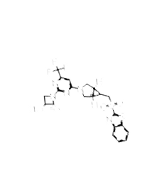 C[C@H]1[C@H](O)CN1c1nc(N2C[C@@H]3C(CS(=O)(=O)c4nc5ccccc5s4)[C@@H]3C2)cc(C(F)(F)F)n1